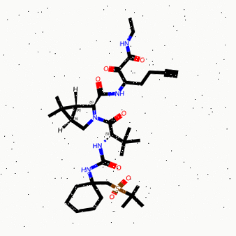 C#CCCC(NC(=O)[C@@H]1[C@@H]2[C@H](CN1C(=O)[C@@H](NC(=O)NC1(CS(=O)(=O)C(C)(C)C)CCCCC1)C(C)(C)C)C2(C)C)C(=O)C(=O)NCC